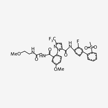 COCCNC(=O)CNC(=O)c1cc(OC)ccc1-n1nc(C(F)(F)F)cc1C(=O)Nc1ccc(-c2ccccc2S(C)(=O)=O)cc1F